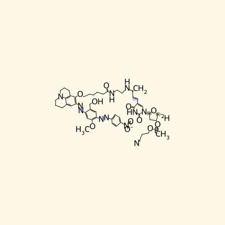 [2H]C[C@H]1O[C@@H](n2cc(/C=C/C(=C)NCCNC(=O)CCCCCOc3c(/N=N/c4cc(OC)c(/N=N/c5ccc([N+](=O)[O-])cc5)cc4CO)cc4c5c3CCCN5CCC4)c(=O)[nH]c2=O)CC1OP(C)OCCC#N